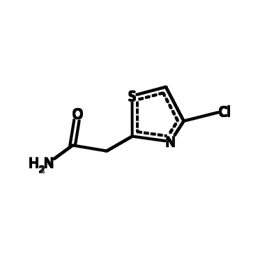 NC(=O)Cc1nc(Cl)cs1